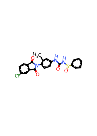 Cc1cc(NC(=O)N[S+]([O-])c2ccccc2)ccc1N1C(=O)c2ccc(Cl)cc2C1=O